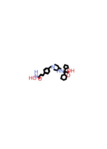 O=C(C=Cc1ccc(CN2CCC(CN[C@](C(=O)O)(C3CCCCC3)C3CCCC3)CC2)cc1)NO